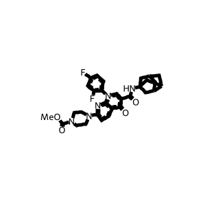 COC(=O)N1CCN(c2ccc3c(=O)c(C(=O)NC45CC6CC(C4)C(C6)C5)cn(-c4ccc(F)cc4F)c3n2)CC1